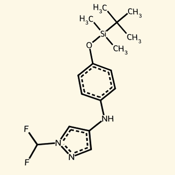 CC(C)(C)[Si](C)(C)Oc1ccc(Nc2cnn(C(F)F)c2)cc1